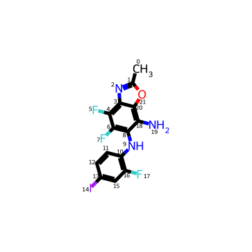 Cc1nc2c(F)c(F)c(Nc3ccc(I)cc3F)c(N)c2o1